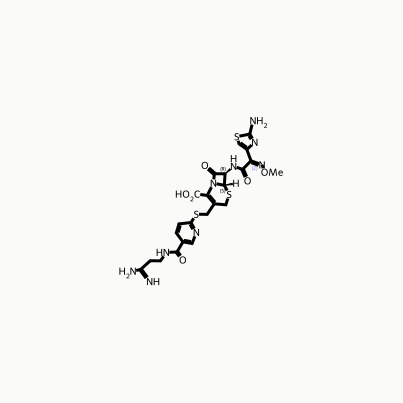 CO/N=C(\C(=O)N[C@@H]1C(=O)N2C(C(=O)O)=C(CSc3ccc(C(=O)NCCC(=N)N)cn3)CS[C@@H]12)c1csc(N)n1